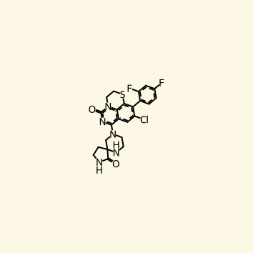 O=C1NCCC12CN(c1nc(=O)n3c4c(c(-c5ccc(F)cc5F)c(Cl)cc14)SCC3)CCN2